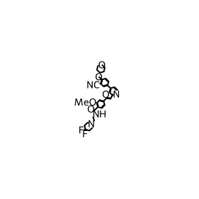 COc1cc(-c2cc3nccc(-c4ccc(OC5CCOCC5)c(C#N)c4)c3o2)ccc1C(=O)NCCN1CCC(F)(F)CC1